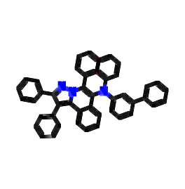 c1ccc(-c2cccc(N(c3ccccc3)c3c(-c4ccccc4)n4nc(-c5ccccc5)c(-c5ccccc5)c4c4ccccc34)c2)cc1